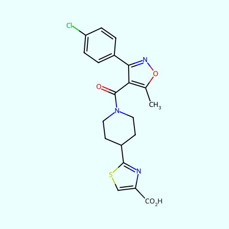 Cc1onc(-c2ccc(Cl)cc2)c1C(=O)N1CCC(c2nc(C(=O)O)cs2)CC1